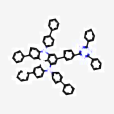 c1ccc(-c2ccc(N3c4ccc(-c5ccccc5)cc4B4c5cc(-c6ccccc6)ccc5N(c5ccc(-c6ccccc6)cc5)c5cc(-c6ccc(-c7nc(-c8ccccc8)nc(-c8ccccc8)n7)cc6)cc3c54)cc2)cc1